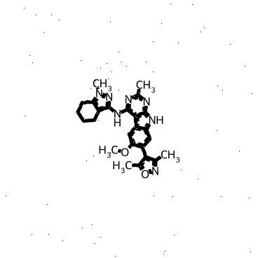 COc1cc2c(cc1-c1c(C)noc1C)[nH]c1nc(C)nc(Nc3nn(C)c4c3CCCC4)c12